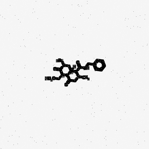 CCCCN1C[C@H]2N(C(=O)CN(C)N2C(=O)NCc2ccccc2)[C@@H](CC(=O)O)C1=O